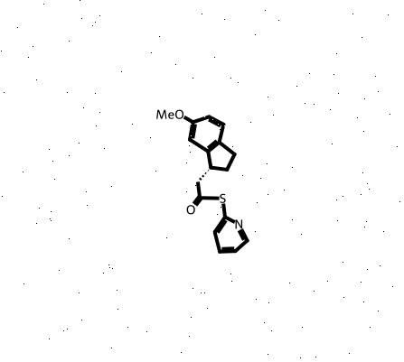 COc1ccc2c(c1)[C@@H](CC(=O)Sc1ccccn1)CC2